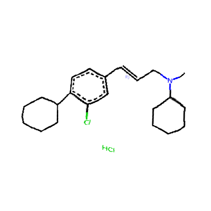 CN(C/C=C/c1ccc(C2CCCCC2)c(Cl)c1)C1CCCCC1.Cl